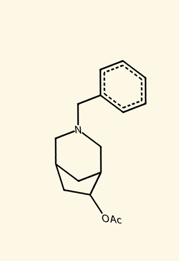 CC(=O)OC1CC2CC1CN(Cc1ccccc1)C2